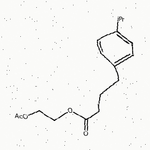 CC(=O)OCCOC(=O)CCCc1ccc(C(C)C)cc1